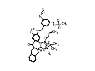 C=CCOC(=O)N1c2cc(OCc3cc(COS(C)(=O)=O)cc(N=[N+]=[N-])c3)c(OC)cc2C(=O)N2Cc3ccccc3C[C@H]2C1O[Si](C)(C)C(C)(C)C